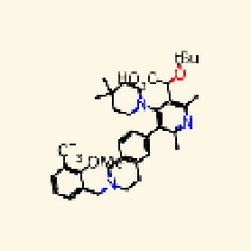 COc1c(CN2CCc3cc(-c4c(C)nc(C)c([C@H](OC(C)(C)C)C(=O)O)c4N4CCC(C)(C)CC4)ccc3C2)cccc1C(F)(F)F